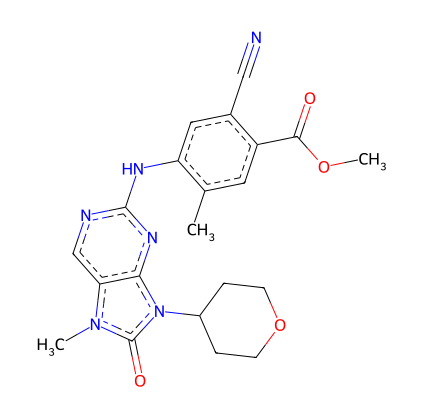 COC(=O)c1cc(C)c(Nc2ncc3c(n2)n(C2CCOCC2)c(=O)n3C)cc1C#N